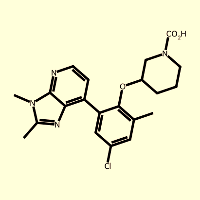 Cc1cc(Cl)cc(-c2ccnc3c2nc(C)n3C)c1OC1CCCN(C(=O)O)C1